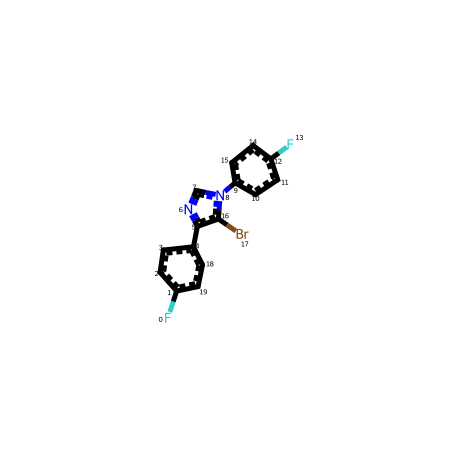 Fc1ccc(-c2ncn(-c3ccc(F)cc3)c2Br)cc1